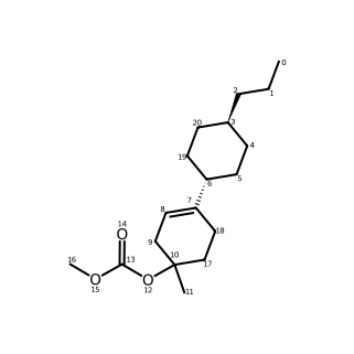 CCC[C@H]1CC[C@H](C2=CCC(C)(OC(=O)OC)CC2)CC1